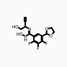 C#CC(CO)N=C(NO)c1cc(C2OCCO2)c(F)c(F)c1F